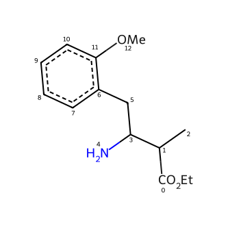 CCOC(=O)C(C)C(N)Cc1ccccc1OC